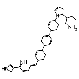 CCC(CN)C1CC=CN1[C@@H]1C=C[C@@H](C2=CCC([C@@H]3C=CC(/C=C/C=C\C(=N)C4=CNC4)CC3)C=C2)CC1